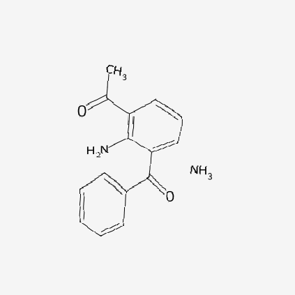 CC(=O)c1cccc(C(=O)c2ccccc2)c1N.N